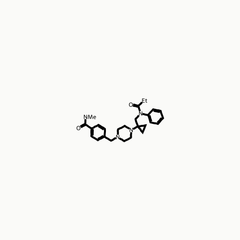 CCC(=O)N(CC1(N2CCN(Cc3ccc(C(=O)NC)cc3)CC2)CC1)c1ccccc1